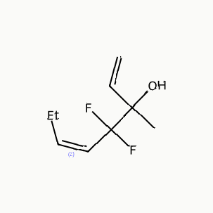 [CH]=CC(C)(O)C(F)(F)/C=C\CC